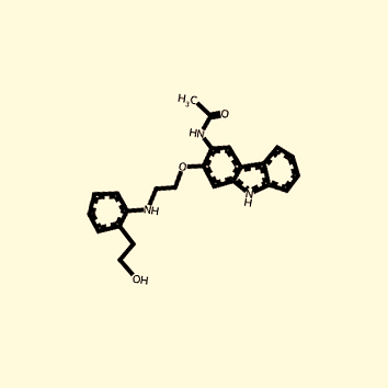 CC(=O)Nc1cc2c(cc1OCCNc1ccccc1CCO)[nH]c1ccccc12